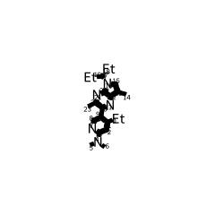 CCc1cc(N(C)C)ncc1-c1nc2c(C)cn(C(CC)CC)c2nc1C